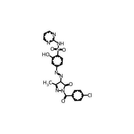 CC1=NN(C(=O)c2ccc(Cl)cc2)C(=O)C1/N=N/c1ccc(S(=O)(=O)Nc2ncccn2)c(O)c1